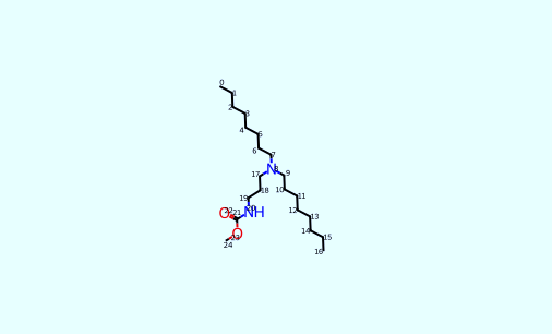 CCCCCCCCN(CCCCCCCC)CCCNC(=O)OC